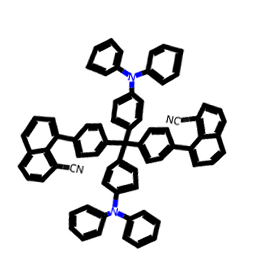 N#Cc1cccc2cccc(-c3ccc(C(c4ccc(-c5cccc6cccc(C#N)c56)cc4)(c4ccc(N(c5ccccc5)c5ccccc5)cc4)c4ccc(N(c5ccccc5)c5ccccc5)cc4)cc3)c12